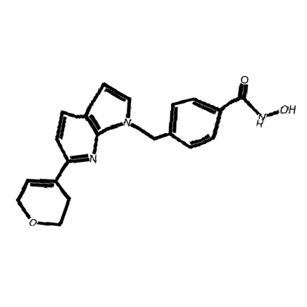 O=C(NO)c1ccc(Cn2ccc3ccc(C4=CCOCC4)nc32)cc1